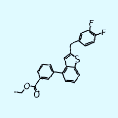 CCOC(=O)c1cccc(-c2cccc3sc(Cc4ccc(F)c(F)c4)cc23)c1